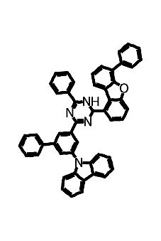 c1ccc(C2=NC(c3cc(-c4ccccc4)cc(-n4c5ccccc5c5ccccc54)c3)=NC(c3cccc4oc5c(-c6ccccc6)cccc5c34)N2)cc1